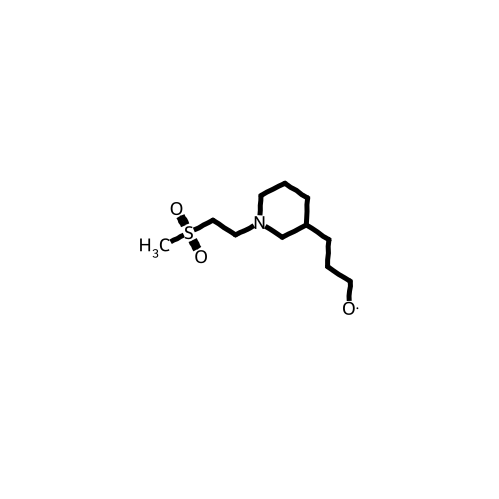 CS(=O)(=O)CCN1CCCC(CCC[O])C1